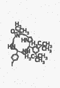 CC1(C)C(=O)C2=NC1=Cc1ccc([nH]1)C(c1cc(C(C)(C)C)cc(C(C)(C)C)c1)=C1CC=C(N1)C(c1ccc(I)cc1)=c1ccc([nH]1)=C2